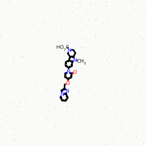 Cn1c2c(c3ccc(-n4ccc(OCc5cn6ccccc6n5)cc4=O)cc31)CN(C(=O)O)CC2